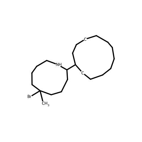 CC1(Br)CCCCNC(C2CCCCCCCCCCC2)CCC1